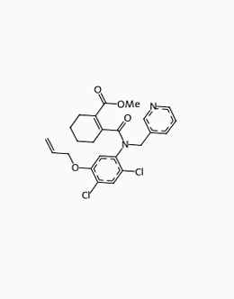 C=CCOc1cc(N(Cc2cccnc2)C(=O)C2=C(C(=O)OC)CCCC2)c(Cl)cc1Cl